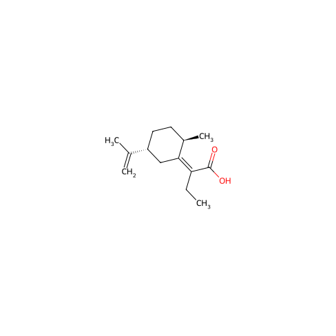 C=C(C)[C@@H]1CC[C@@H](C)C(=C(CC)C(=O)O)C1